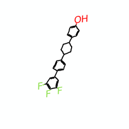 Oc1ccc(C2CCC(c3ccc(-c4cc(F)c(F)c(F)c4)cc3)CC2)cc1